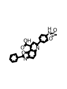 CS(=O)(=O)Nc1ccc(-c2cc(C(=O)O)c3c(ccc4nc(-c5ccccc5)oc43)n2)cc1